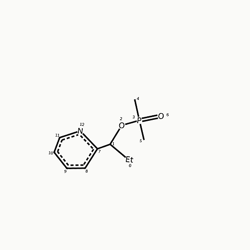 CCC(OP(C)(C)=O)c1ccccn1